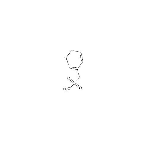 CS(=O)(=O)CC1=C[CH]CC=C1